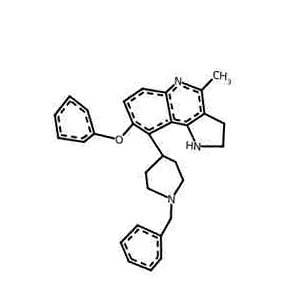 Cc1nc2ccc(Oc3ccccc3)c(C3CCN(Cc4ccccc4)CC3)c2c2c1CCN2